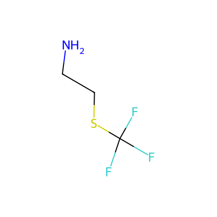 NCCSC(F)(F)F